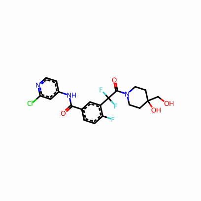 O=C(Nc1ccnc(Cl)c1)c1ccc(F)c(C(F)(F)C(=O)N2CCC(O)(CO)CC2)c1